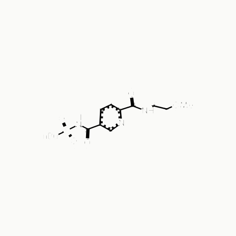 CCCCS(=O)(=O)NC(=O)c1ccc(C(=O)NCCOC)nc1